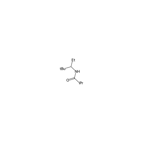 CCC(NC(=O)C(C)C)C(C)(C)C